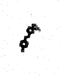 CC1(C)OCC(COc2cnc(Cl)cn2)O1